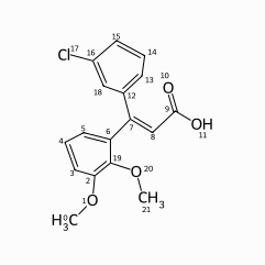 COc1cccc(C(=CC(=O)O)c2cccc(Cl)c2)c1OC